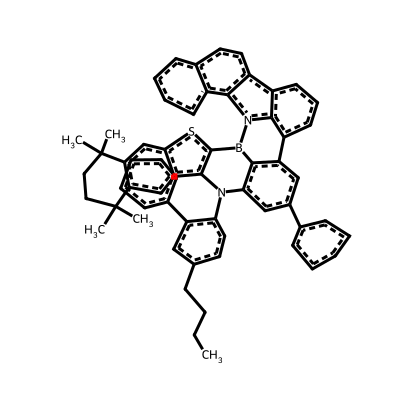 CCCCc1ccc(N2c3cc(-c4ccccc4)cc4c3B(c3sc5cc6c(cc5c32)C(C)(C)CCC6(C)C)n2c3c-4cccc3c3ccc4ccccc4c32)c(-c2ccccc2)c1